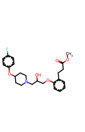 COC(=O)CCc1ccccc1OCC(O)CN1CCC(Oc2ccc(F)cc2)CC1